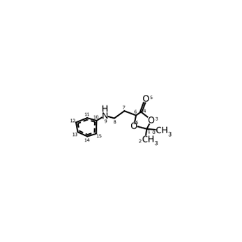 CC1(C)OC(=O)C(CCNc2ccccc2)O1